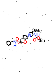 COC1CN(c2ccc3c(c2)OC[C@H](OC(=O)NCc2ccccc2)C3)CC1NC(=O)OC(C)(C)C